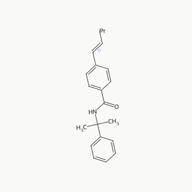 CC(C)/C=C/c1ccc(C(=O)NC(C)(C)c2ccccc2)cc1